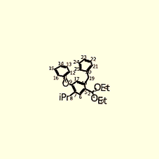 CCOC(OCC)c1cc(C(C)C)c(Oc2ccccc2)cc1Cc1ccccc1